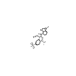 CC(C)Oc1ccc(S(C)(=O)=O)cc1N(S)C(=O)Nc1cccc2c1ncn2C